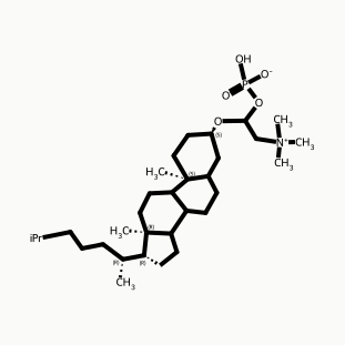 CC(C)CCC[C@@H](C)[C@H]1CCC2C3CCC4C[C@@H](OC(C[N+](C)(C)C)OP(=O)([O-])O)CC[C@]4(C)C3CC[C@@]21C